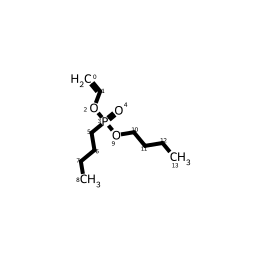 C=COP(=O)(CCCC)OCCCC